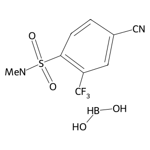 CNS(=O)(=O)c1ccc(C#N)cc1C(F)(F)F.OBO